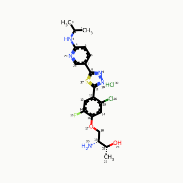 CC(C)Nc1ccc(-c2nnc(-c3cc(F)c(OC[C@@H](N)[C@@H](C)O)cc3Cl)s2)cn1.Cl